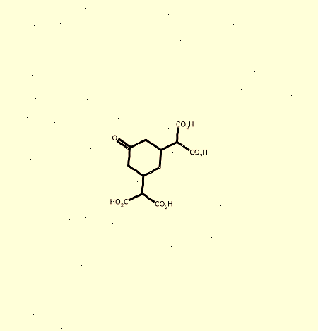 O=C1C[C](C(C(=O)O)C(=O)O)CC(C(C(=O)O)C(=O)O)C1